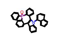 O=P1(c2ccccc2)c2ccccc2-c2c(n(-c3cccc4ccccc34)c3ccccc23)-c2ccccc21